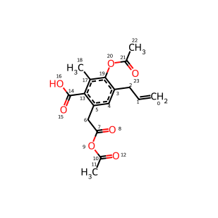 C=CCc1cc(CC(=O)OC(C)=O)c(C(=O)O)c(C)c1OC(C)=O